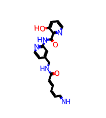 N=C/C=C\C=C\C(=O)NCc1ccnc(NC(=O)c2ncccc2O)c1